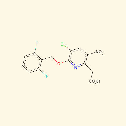 CCOC(=O)Cc1nc(OCc2c(F)cccc2F)c(Cl)cc1[N+](=O)[O-]